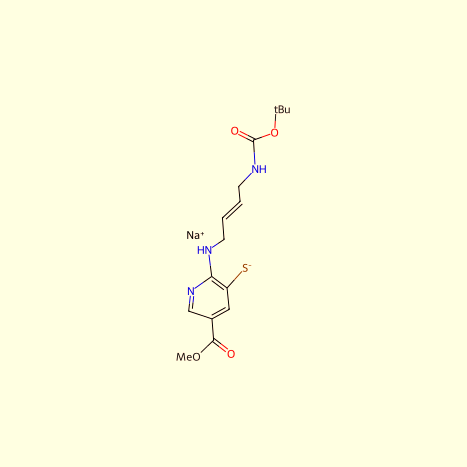 COC(=O)c1cnc(NC/C=C/CNC(=O)OC(C)(C)C)c([S-])c1.[Na+]